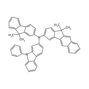 CC1(C)c2ccccc2-c2ccc(N(c3ccc4c(c3)-c3cc5ccccc5cc3C4(C)C)c3ccc4c5ccccc5n(-c5ccccc5)c4c3)cc21